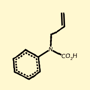 C=CCN(C(=O)O)c1ccccc1